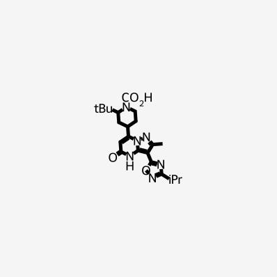 Cc1nn2c(C3CCN(C(=O)O)C(C(C)(C)C)C3)cc(=O)[nH]c2c1-c1nc(C(C)C)no1